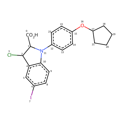 O=C(O)C1C(Cl)c2cc(I)ccc2N1c1ccc(OC2CCCC2)cc1